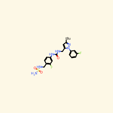 CC(C)(C)c1cc(CNC(=O)Nc2ccc(CNS(N)(=O)=O)c(F)c2)n(-c2cccc(F)c2)n1